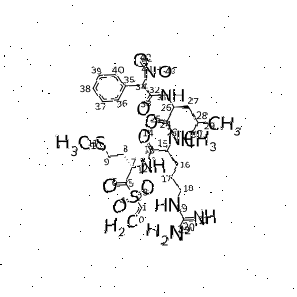 C=CS(=O)(=O)C(=O)[C@H](CCSC)NC(=O)[C@H](CCCNC(=N)N)NC(=O)[C@H](CC(C)C)NC(=O)C(c1ccccc1)[N+](=O)[O-]